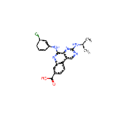 CC(C)Nc1ncc2c(n1)c(NC1=CC(Cl)CC=C1)nc1cc(C(=O)O)ccc12